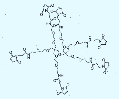 O=C(CCN1C(=O)C=CC1=O)NCCOCCOCC(COCCOCCNC(=O)CCN1C(=O)C=CC1=O)(COCCOCCNC(=O)CCN1C(=O)C=CC1=O)COCC(COCCOCCNC(=O)CCN1C(=O)C=CC1=O)(COCCOCCNC(=O)CCN1C(=O)C=CC1=O)COCCOCCNC(=O)CCN1C(=O)C=CC1=O